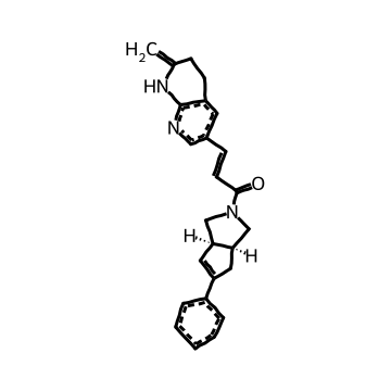 C=C1CCc2cc(/C=C/C(=O)N3C[C@H]4CC(c5ccccc5)=C[C@H]4C3)cnc2N1